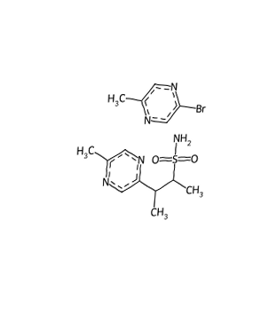 Cc1cnc(Br)cn1.Cc1cnc(C(C)C(C)S(N)(=O)=O)cn1